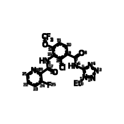 CCn1nnnc1NC(=O)c1ccc(OC(F)(F)F)c(NC(=O)c2ncccc2F)c1Cl